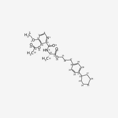 COc1ccnc(C(=O)N[C@@H](C)C(=O)OCCCc2ccc(C3CCCCC3)cc2)c1OC(C)=O